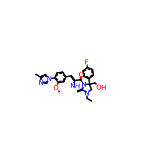 C=C1N(CC)CC(CO)(c2ccc(F)cc2)N1C(=O)/C(N)=C/c1ccc(-n2cnc(C)c2)c(OC)c1